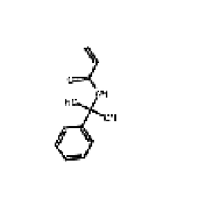 C=CC(=O)NC(O)(O)c1ccccc1